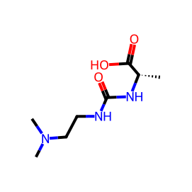 C[C@H](NC(=O)NCCN(C)C)C(=O)O